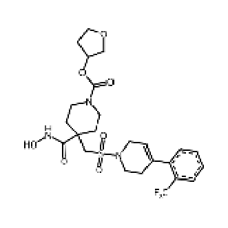 O=C(OC1CCOC1)N1CCC(CS(=O)(=O)N2CC=C(c3ccccc3C(F)(F)F)CC2)(C(=O)NO)CC1